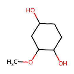 COC1CC(O)CCC1O